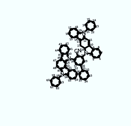 N#Cc1c(N2c3ccccc3C3=Cc4c(c5ccccc5n4-c4ccccc4)CC32)cc(-c2ccccc2)cc1-n1c2ccccc2c2ccc3c(c4ccccc4n3-c3ccccc3)c21